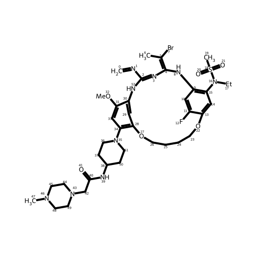 C=N/C1=N\C(=C(/C)Br)Nc2cc(F)c(cc2N(CC)S(C)(=O)=O)OCCCCOc2cc(c(OC)cc2N2CCC(NC(=O)CN3CCN(C)CC3)CC2)N1